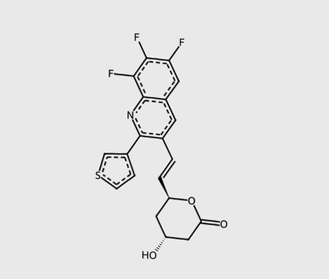 O=C1C[C@H](O)C[C@@H](C=Cc2cc3cc(F)c(F)c(F)c3nc2-c2ccsc2)O1